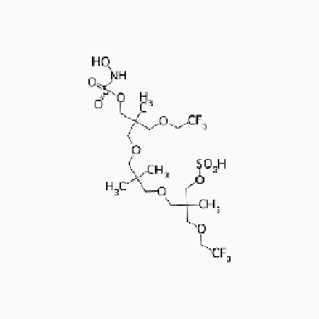 CC(C)(COCC(C)(COCC(F)(F)F)COS(=O)(=O)O)COCC(C)(COCC(F)(F)F)COS(=O)(=O)NO